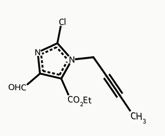 CC#CCn1c(Cl)nc(C=O)c1C(=O)OCC